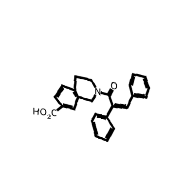 O=C(O)c1ccc2c(c1)CN(C(=O)/C(=C\c1ccccc1)c1ccccc1)CC2